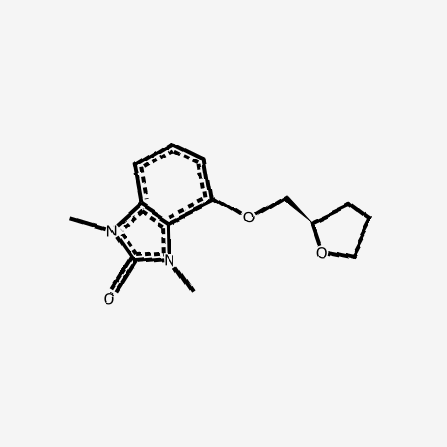 Cn1c(=O)n(C)c2c(OC[C@H]3CCCO3)cccc21